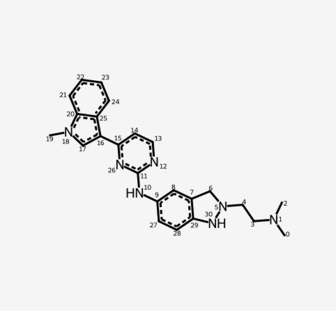 CN(C)CCN1Cc2cc(Nc3nccc(-c4cn(C)c5ccccc45)n3)ccc2N1